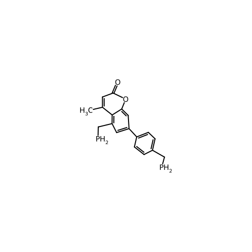 Cc1cc(=O)oc2cc(-c3ccc(CP)cc3)cc(CP)c12